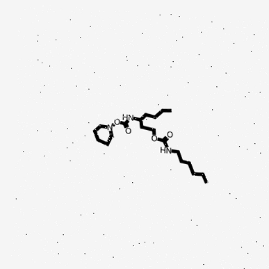 CCCCCCNC(=O)OCCC(CCCC)NC(=O)ON1CCCCC1